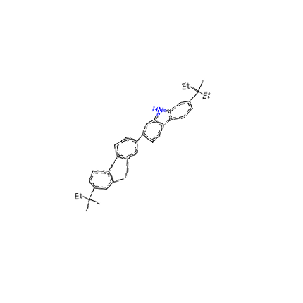 CCC(C)(C)c1ccc2c(c1)Cc1cc(-c3ccc4c(c3)[nH]c3cc(C(C)(CC)CC)ccc34)ccc1-2